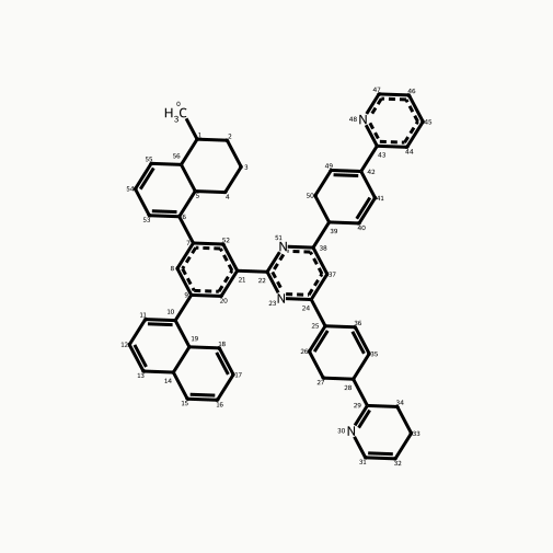 CC1CCCC2C(c3cc(C4=CC=CC5C=CC=CC45)cc(-c4nc(C5=CCC(C6=NC=CCC6)C=C5)cc(C5C=CC(c6ccccn6)=CC5)n4)c3)=CC=CC12